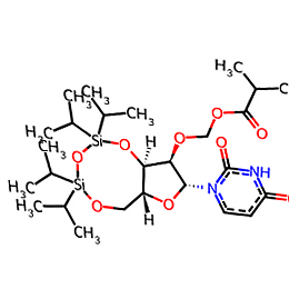 CC(C)C(=O)OCO[C@@H]1[C@@H]2O[Si](C(C)C)(C(C)C)O[Si](C(C)C)(C(C)C)OC[C@H]2O[C@H]1n1ccc(=O)[nH]c1=O